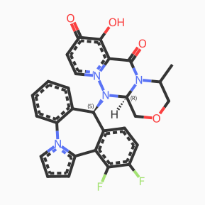 CC1COC[C@@H]2N1C(=O)c1c(O)c(=O)ccn1N2[C@@H]1c2ccccc2-n2cccc2-c2c1ccc(F)c2F